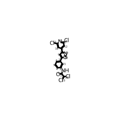 O=C(Nc1cccc(-c2cc(-c3cc(Cl)nc(Cl)c3)no2)c1)C(Cl)Cl